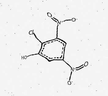 O=[N+]([O-])c1cc(O)c(Cl)c([N+](=O)[O-])c1